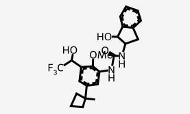 COc1c(NC(=O)NC2Cc3ccccc3C2O)cc(C2(C)CCC2)cc1C(O)C(F)(F)F